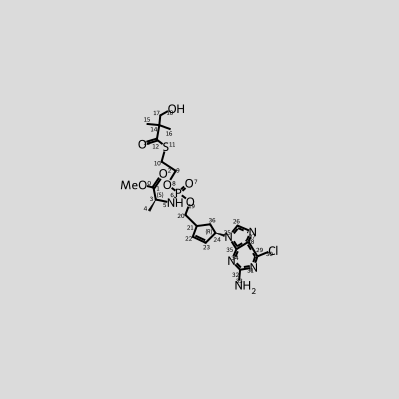 COC(=O)[C@H](C)NP(=O)(OCCSC(=O)C(C)(C)CO)OCC1C=C[C@H](n2cnc3c(Cl)nc(N)nc32)C1